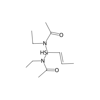 CC=C[SiH](N(CC)C(C)=O)N(CC)C(C)=O